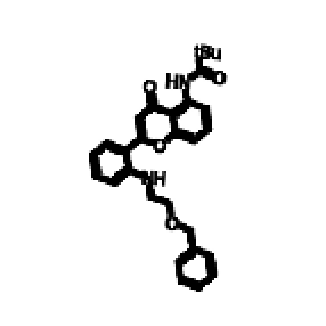 CC(C)(C)C(=O)Nc1cccc2oc(-c3ccccc3NCCOCc3ccccc3)cc(=O)c12